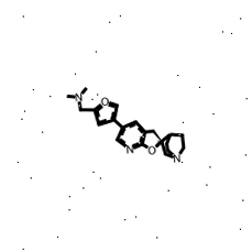 CN(C)Cc1cc(-c2cnc3c(c2)C[C@@]2(CN4CCC2CC4)O3)co1